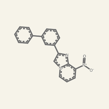 O=[N+]([O-])c1cccn2cc(-c3cccc(-c4ccccc4)c3)nc12